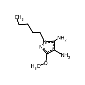 CCCCCn1nc(OC)c(N)c1N